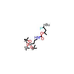 CCCCC(F)CC(C)OC(=O)NCCC[Si](O[Si](C)(C)C)(O[Si](C)(C)C)O[Si](C)(C)C